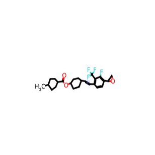 CC1CCC(C(=O)OC2CCC(/C=C/c3ccc(C4CO4)c(F)c3C(F)(F)F)CC2)CC1